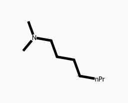 CCC[CH]CCCN(C)C